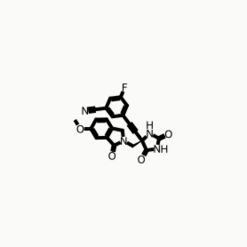 COc1ccc2c(c1)C(=O)N(C[C@@]1(C#Cc3cc(F)cc(C#N)c3)NC(=O)NC1=O)C2